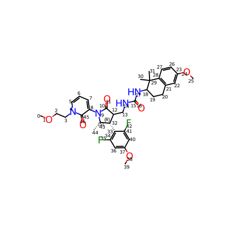 COCCn1cccc(N2C(=O)C(CNC(=O)NC3CCc4cc(OC)ccc4C3(C)C)[C@H](c3c(F)cc(OC)cc3F)[C@@H]2C)c1=O